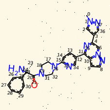 Cn1cc(-c2cn3nccc3c(-c3ccc(N4CCN(C(=O)[C@](C)(N)c5ccccc5)CC4)nc3)n2)cn1